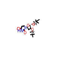 CC(C)(C)[Si](C)(C)OC[C@H]1O[C@@H](n2ccc(=O)[nH]c2=O)C[C@H]1O[Si](C)(C)C(C)(C)C